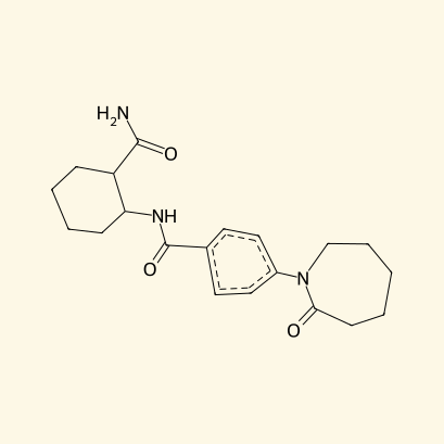 NC(=O)C1CCCCC1NC(=O)c1ccc(N2CCCCCC2=O)cc1